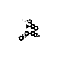 Cn1cc(-c2cc3c(cc2C2CC2)N(c2cc(-c4ccnc(OC5(C)C=CC=CC5)c4)cc4c2CNC4)CCC3)cn1